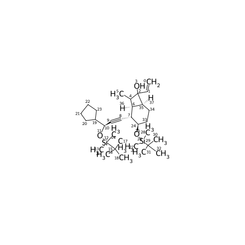 C=CC1(O)C(C)[C@@H]2[C@@H](C#C[C@@H](O[Si](C)(C)C(C)(C)C)C3CCCC3)[C@H](O[Si](C)(C)C(C)(C)C)CC[C@@H]21